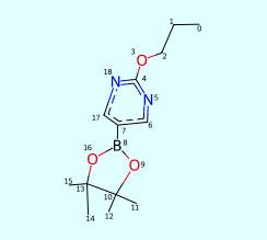 CCCOc1ncc(B2OC(C)(C)C(C)(C)O2)cn1